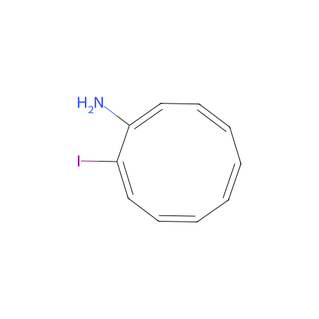 Nc1ccccccccc1I